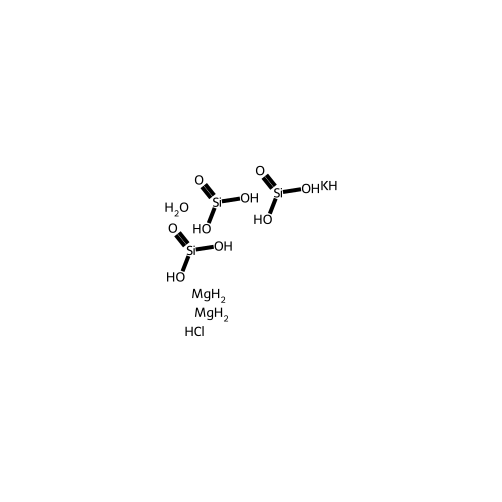 Cl.O.O=[Si](O)O.O=[Si](O)O.O=[Si](O)O.[KH].[MgH2].[MgH2]